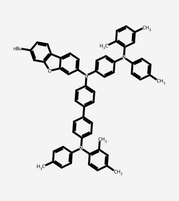 CCCCc1ccc2c(c1)oc1cc(N(c3ccc(-c4ccc(N(c5ccc(C)cc5)c5ccc(C)cc5C)cc4)cc3)c3ccc(N(c4ccc(C)cc4)c4cc(C)ccc4C)cc3)ccc12